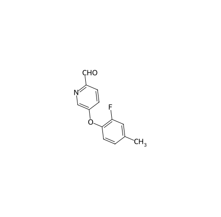 Cc1ccc(Oc2ccc(C=O)nc2)c(F)c1